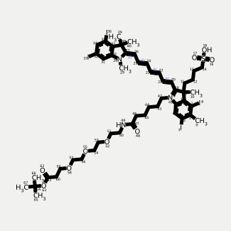 Cc1c(I)cc2c(c1I)C(C)(CCCCS(=O)(=O)O)C(/C=C/C=C/C=C/C=C1\N(C)c3cc(I)cc(I)c3C1(C)C)=[N+]2CCCCCC(=O)NCCOCCOCCOCCC(=O)OC(C)(C)C